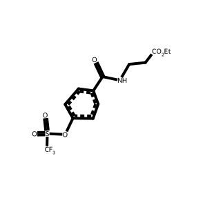 CCOC(=O)CCNC(=O)c1ccc(OS(=O)(=O)C(F)(F)F)cc1